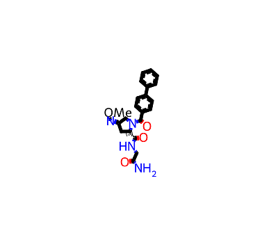 CON=C1C[C@@H](C(=O)NCC(N)=O)N(C(=O)c2ccc(-c3ccccc3)cc2)C1